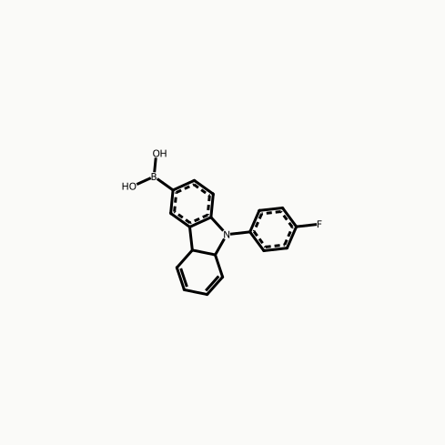 OB(O)c1ccc2c(c1)C1C=CC=CC1N2c1ccc(F)cc1